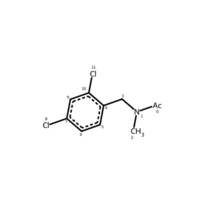 CC(=O)N(C)Cc1ccc(Cl)cc1Cl